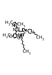 CCCCCCCCS(=O)(=O)Nc1ccc(OC)cc1C1=NC(n2nc(C)cc2C)=N/C1=C\c1ccc(N2CCN(CCCC)CC2)s1